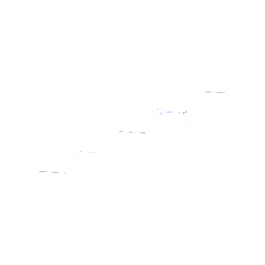 CCCCSCCNC(=O)CCC